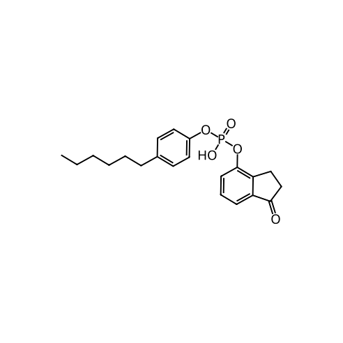 CCCCCCc1ccc(OP(=O)(O)Oc2cccc3c2CCC3=O)cc1